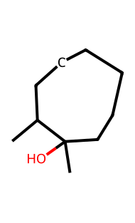 CC1CCCCCCC1(C)O